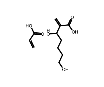 C=C(C(=O)O)C(O)CCCCO.C=CC(=O)O